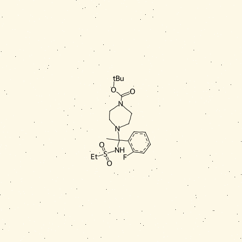 CCS(=O)(=O)NC(C)(c1ccccc1F)N1CCN(C(=O)OC(C)(C)C)CC1